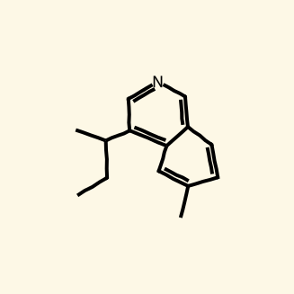 CCC(C)c1cncc2ccc(C)cc12